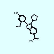 COc1cc(O)ccc1-c1nc2cc(C(=O)O)ccc2n1C1CCCC1